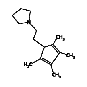 CC1=C(C)C(CCN2CCCC2)C(C)=C1C